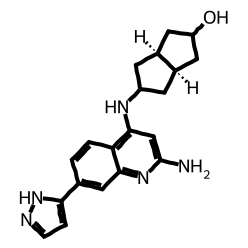 Nc1cc(NC2C[C@H]3CC(O)C[C@H]3C2)c2ccc(-c3ccn[nH]3)cc2n1